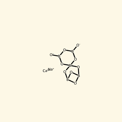 [Ca+2].[Na+].[O-]B1OB([O-])O[B-]2(O1)OB1OB(O1)O2